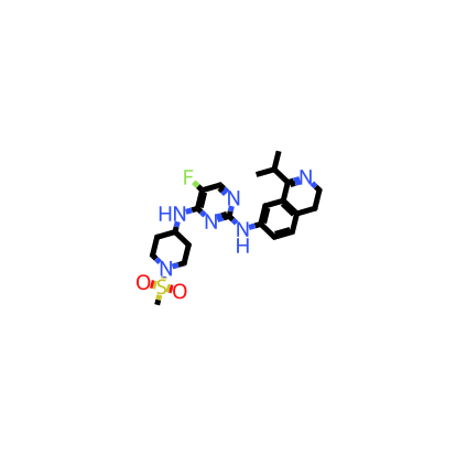 CC(C)C1=NCCc2ccc(Nc3ncc(F)c(NC4CCN(S(C)(=O)=O)CC4)n3)cc21